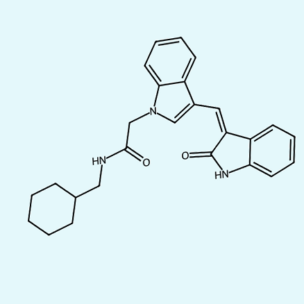 O=C(Cn1cc(C=C2C(=O)Nc3ccccc32)c2ccccc21)NCC1CCCCC1